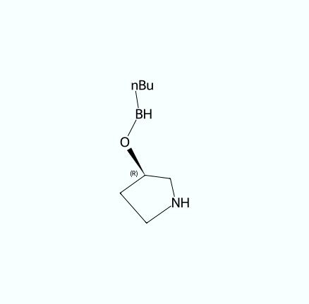 CCCCBO[C@@H]1CCNC1